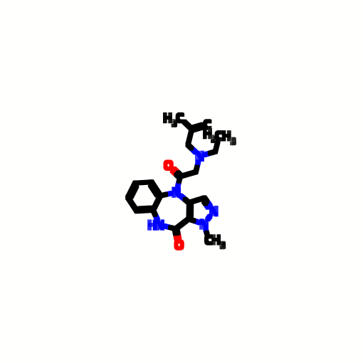 C=C(C)CN(CC)CC(=O)N1c2ccccc2NC(=O)c2c1cnn2C